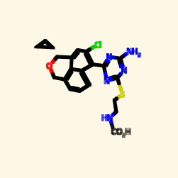 C1CC1.Nc1nc(SCCNC(=O)O)nc(-c2c(Cl)cc3c4c(cccc24)COC3)n1